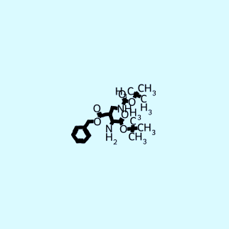 CC(C)(C)OC(=O)NCC(C(=O)OCc1ccccc1)C(N)C(=O)OC(C)(C)C